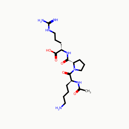 CC(=O)N[C@@H](CCCCN)C(=O)N1CCC[C@H]1C(=O)N[C@@H](CCCNC(=N)N)C(=O)O